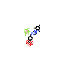 CO[Si](OC)(OC)c1ccc(CN2C=[N+](c3c(C)cc(C)cc3C)CC2)cc1.F[B-](F)(F)F